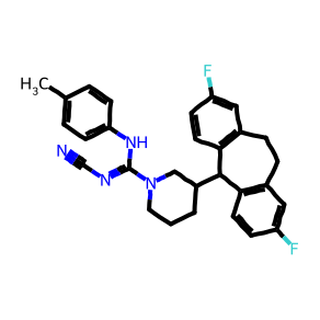 Cc1ccc(NC(=NC#N)N2CCCC(C3c4ccc(F)cc4CCc4cc(F)ccc43)C2)cc1